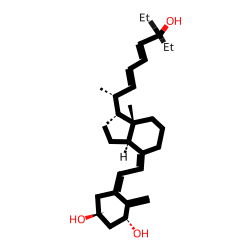 C=C1/C(=C\C=C2\CCC[C@]3(C)[C@@H]2CC[C@@H]3[C@H](C)/C=C/C=C/C(O)(CC)CC)C[C@H](O)C[C@H]1O